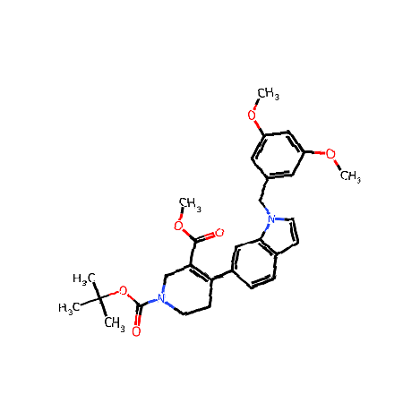 COC(=O)C1=C(c2ccc3ccn(Cc4cc(OC)cc(OC)c4)c3c2)CCN(C(=O)OC(C)(C)C)C1